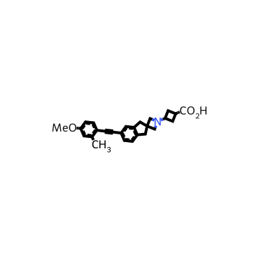 COc1ccc(C#Cc2ccc3c(c2)CC2(C3)CN(C3CC(C(=O)O)C3)C2)c(C)c1